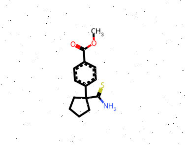 COC(=O)c1ccc(C2(C(N)=S)CCCC2)cc1